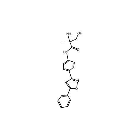 C[C@](N)(CO)C(=O)Nc1ccc(-c2noc(-c3ccccc3)n2)cc1